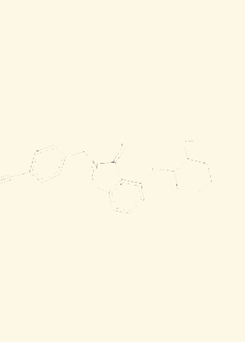 N#Cc1ccc(CN2Cc3cccc(OC4CCCCC4O)c3C2=O)cc1